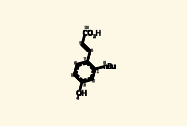 CCCCc1cc(O)ccc1C=CC(=O)O